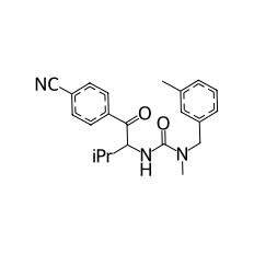 Cc1cccc(CN(C)C(=O)NC(C(=O)c2ccc(C#N)cc2)C(C)C)c1